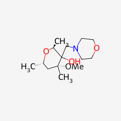 CO[C@]1(C)C[C@H](C)O[C@@H](C)C1(O)CN1CCOCC1